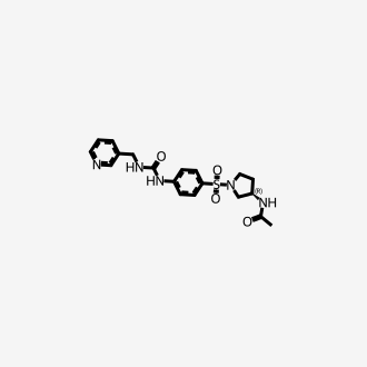 CC(=O)N[C@@H]1CCN(S(=O)(=O)c2ccc(NC(=O)NCc3cccnc3)cc2)C1